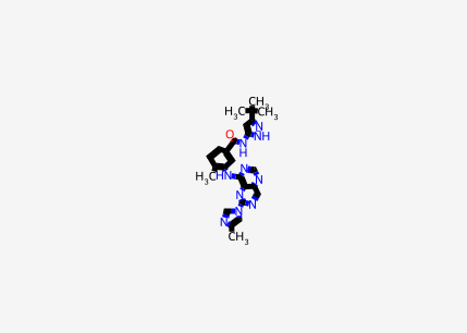 Cc1cn(-c2ncc3ncnc(Nc4cc(C(=O)Nc5cc(C(C)(C)C)n[nH]5)ccc4C)c3n2)cn1